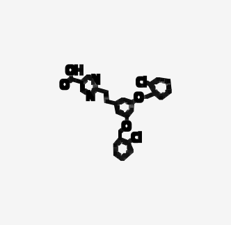 O=C(O)c1cnc(/C=C/c2cc(OCc3ccccc3Cl)cc(OCc3ccccc3Cl)c2)nc1